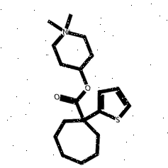 C[N+]1(C)CCC(OC(=O)C2(c3cccs3)CCCCCC2)CC1